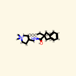 C[N+]1(C)CCC(CNC(=O)C2(CC(=O)[O-])Cc3ccccc3C2)CC1